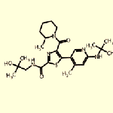 Cc1cc(NC(C)(C)C)ncc1-c1sc(C(=O)NCC(C)(C)O)nc1C(=O)N1CCCC[C@@H]1C